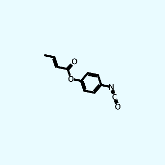 CC=CC(=O)Oc1ccc(N=C=O)cc1